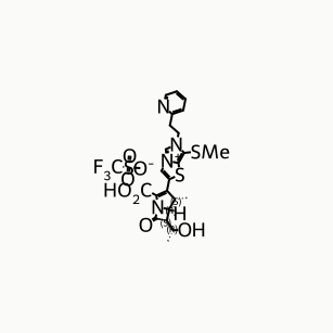 CSc1c2sc(C3=C(C(=O)O)N4C(=O)[C@H]([C@@H](C)O)[C@H]4[C@H]3C)c[n+]2cn1CCc1ccccn1.O=S(=O)([O-])C(F)(F)F